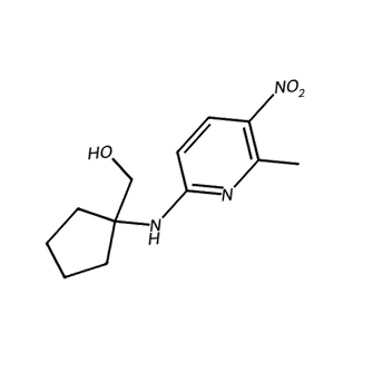 Cc1nc(NC2(CO)CCCC2)ccc1[N+](=O)[O-]